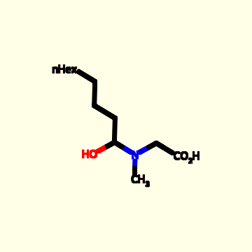 CCCCCCCCCC(O)N(C)CC(=O)O